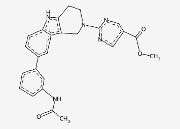 COC(=O)c1cnc(N2CCc3[nH]c4ccc(-c5cccc(NC(C)=O)c5)cc4c3C2)nc1